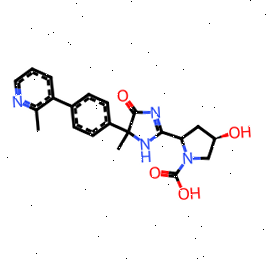 Cc1ncccc1-c1ccc(C2(C)NC(C3C[C@@H](O)CN3C(=O)O)=NC2=O)cc1